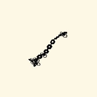 C=CC(=O)OCCCCCC[C@H]1CC[C@H](c2ccc(-c3ccc(C(=O)Oc4ccc(C5O[C@@H](C(=O)OCC)[C@H](C(=O)OCC)O5)cc4)cc3)cc2)CC1